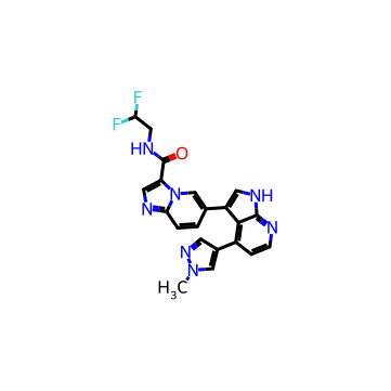 Cn1cc(-c2ccnc3[nH]cc(-c4ccc5ncc(C(=O)NCC(F)F)n5c4)c23)cn1